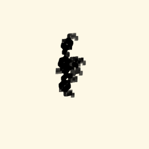 Cc1cnc(COc2ccc3[nH]c(C(Cc4cnc(C)cn4)C(=O)O)c(SC(C)(C)C)c3c2C)cn1